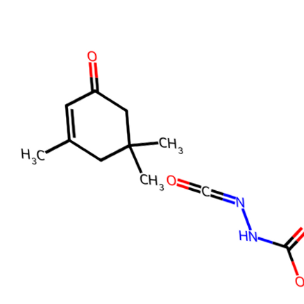 CC1=CC(=O)CC(C)(C)C1.O=C=NNC(=O)O